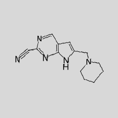 N#Cc1ncc2cc(CN3CCCCC3)[nH]c2n1